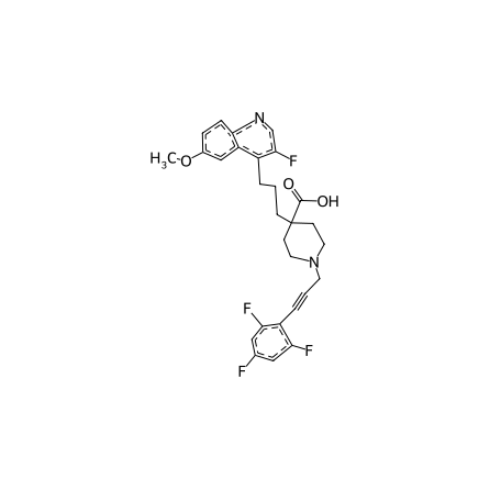 COc1ccc2ncc(F)c(CCCC3(C(=O)O)CCN(CC#Cc4c(F)cc(F)cc4F)CC3)c2c1